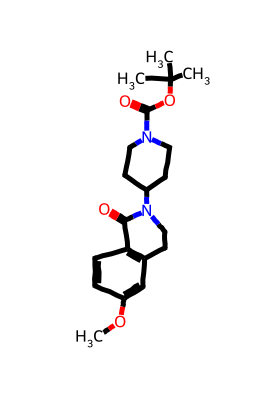 COc1ccc2c(c1)CCN(C1CCN(C(=O)OC(C)(C)C)CC1)C2=O